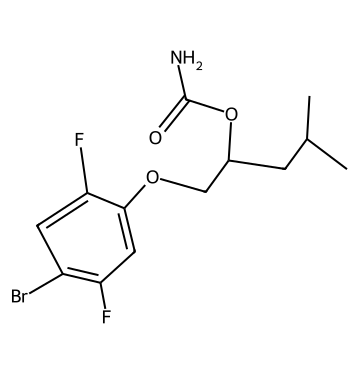 CC(C)CC(COc1cc(F)c(Br)cc1F)OC(N)=O